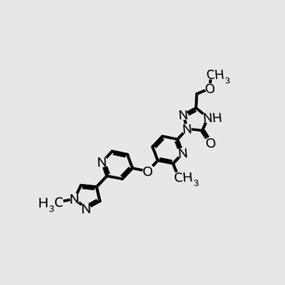 COCc1nn(-c2ccc(Oc3ccnc(-c4cnn(C)c4)c3)c(C)n2)c(=O)[nH]1